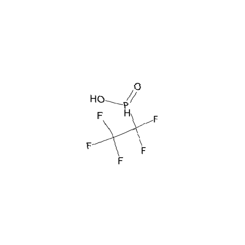 O=[PH](O)C(F)(F)C(F)(F)F